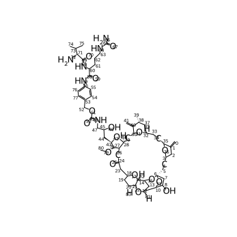 C=C1CC2CC[C@]34C[C@@H](O)C(O3)[C@H]3CC(O4)[C@H]4OC(CC[C@@H]4O3)CC(=O)CC3[C@H](CC4O[C@@H](CCC1O2)C[C@@H](C)C4=C)O[C@H](CC(O)CNC(=O)OCc1ccc(NC(=O)C(CCCNC(N)=O)NC(=O)[C@@H](N)C(C)C)cc1)[C@@H]3OC